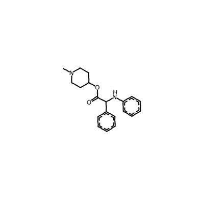 CN1CCC(OC(=O)C(Nc2ccccc2)c2ccccc2)CC1